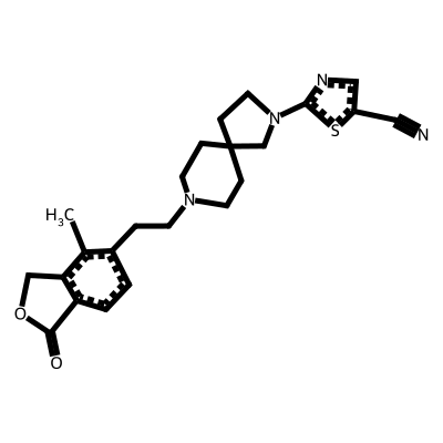 Cc1c(CCN2CCC3(CC2)CCN(c2ncc(C#N)s2)C3)ccc2c1COC2=O